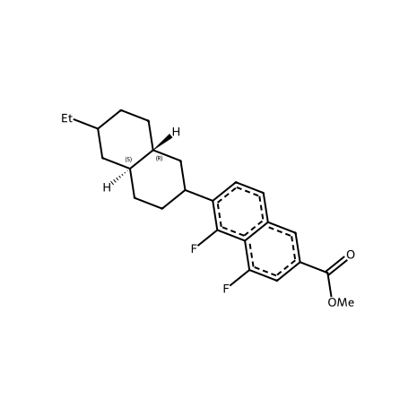 CCC1CC[C@@H]2CC(c3ccc4cc(C(=O)OC)cc(F)c4c3F)CC[C@H]2C1